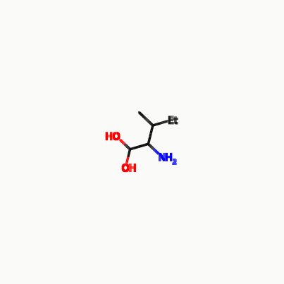 CCC(C)C(N)C(O)O